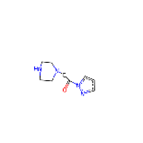 O=C(CN1CCNCC1)n1cccn1